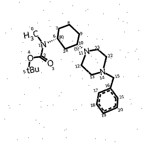 CN(C(=O)OC(C)(C)C)[C@@H]1CCC[C@H](N2CCN(Cc3ccccc3)CC2)C1